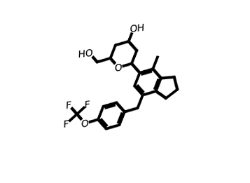 Cc1c(C2CC(O)CC(CO)O2)cc(Cc2ccc(OC(F)(F)F)cc2)c2c1CCC2